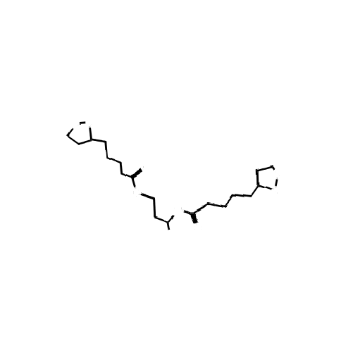 CC(CCOC(=O)CCCCC1CCSS1)OC(=O)CCCCC1CCSS1